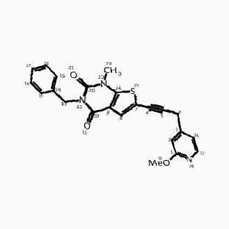 COc1cc(CC#Cc2cc3c(=O)n(Cc4ccccc4)c(=O)n(C)c3s2)ccn1